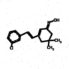 CC1(C)CC(C=Cc2cccc(Cl)c2)=CC(=NO)C1